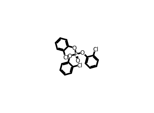 O=P(Oc1ccccc1Cl)(Oc1ccccc1Cl)Oc1ccccc1Cl